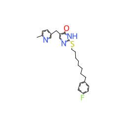 Cc1ccc(Cc2cnc(SCCCCCCCCc3ccc(F)cc3)[nH]c2=O)cn1